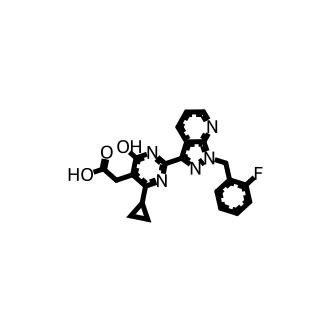 O=C(O)Cc1c(O)nc(-c2nn(Cc3ccccc3F)c3ncccc23)nc1C1CC1